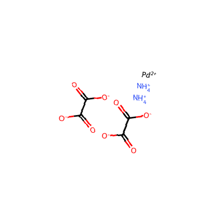 O=C([O-])C(=O)[O-].O=C([O-])C(=O)[O-].[NH4+].[NH4+].[Pd+2]